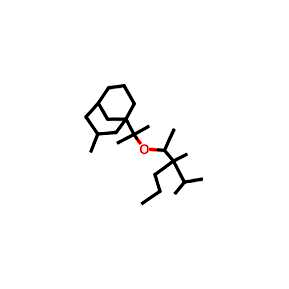 CCCC(C)(C(C)C)C(C)OC(C)(C)C12CCCC(CC(C)C1)C2